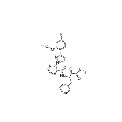 COc1cc(F)ccc1-c1ccn(-c2ncccc2C(=O)NC(Cc2ccccc2)C(=O)C(N)=O)n1